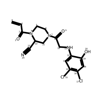 C=CC(=O)N1CCN(C(=O)CNc2cc(Cl)c(Cl)cc2O)CC1C#N